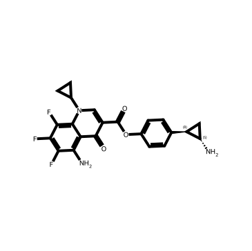 Nc1c(F)c(F)c(F)c2c1c(=O)c(C(=O)Oc1ccc([C@H]3C[C@@H]3N)cc1)cn2C1CC1